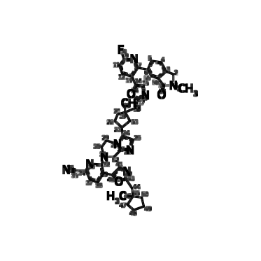 CN1Cc2ccc(-c3nc(F)ccc3-c3cnc(CC4(C)CCC(c5cnc6n5CCN(c5nc(C#N)ccc5-c5cnc(CC7(C)CCCC7)o5)C6)C4)o3)cc2C1=O